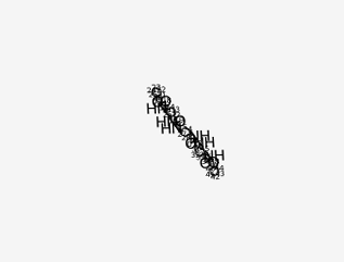 O=C(Nc1ccc(NC(=O)Nc2cccc(NC(=O)Oc3ccccc3)c2)cc1)Nc1cccc(NC(=O)Oc2ccccc2)c1